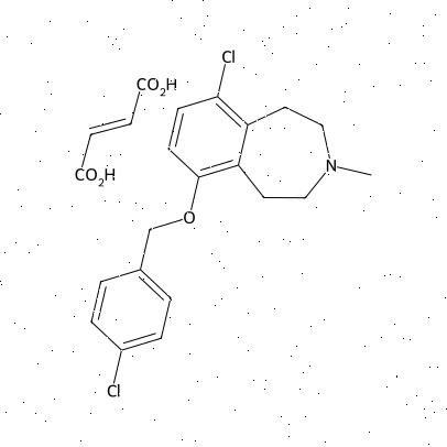 CN1CCc2c(Cl)ccc(OCc3ccc(Cl)cc3)c2CC1.O=C(O)C=CC(=O)O